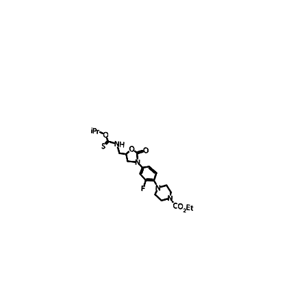 CCOC(=O)N1CCN(c2ccc(N3CC(CNC(=S)OC(C)C)OC3=O)cc2F)CC1